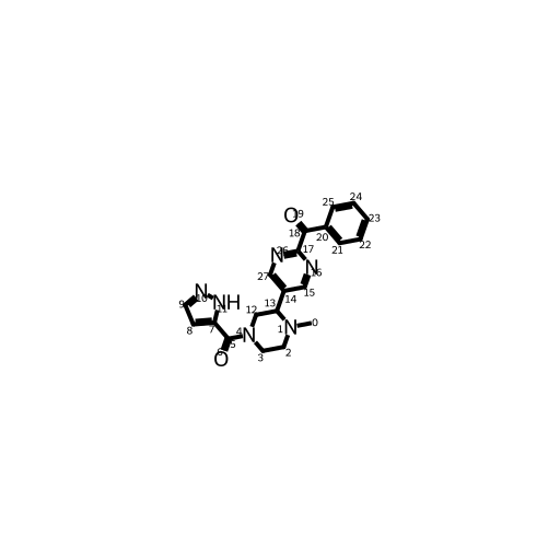 CN1CCN(C(=O)c2ccn[nH]2)CC1c1cnc(C(=O)c2ccccc2)nc1